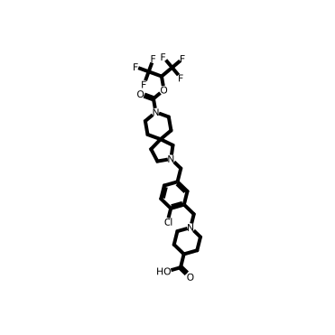 O=C(O)C1CCN(Cc2cc(CN3CCC4(CCN(C(=O)OC(C(F)(F)F)C(F)(F)F)CC4)C3)ccc2Cl)CC1